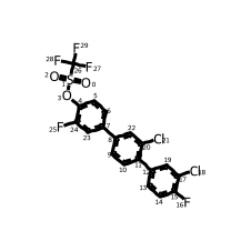 O=S(=O)(Oc1ccc(-c2ccc(-c3ccc(F)c(Cl)c3)c(Cl)c2)cc1F)C(F)(F)F